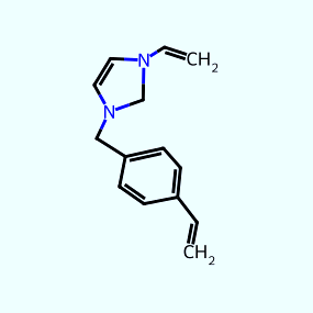 C=Cc1ccc(CN2C=CN(C=C)C2)cc1